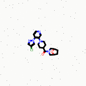 O=C(C1CCN(c2cnccc2-n2cc(Cl)cn2)CC1)N1CC2CCC(C1)O2